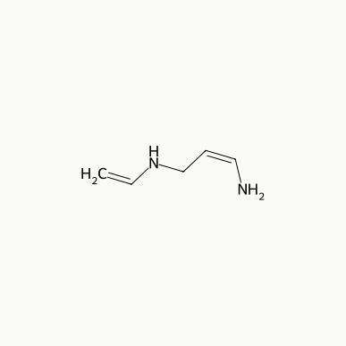 C=CNC/C=C\N